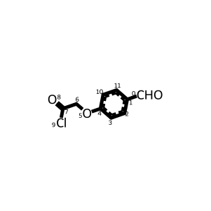 O=Cc1ccc(OCC(=O)Cl)cc1